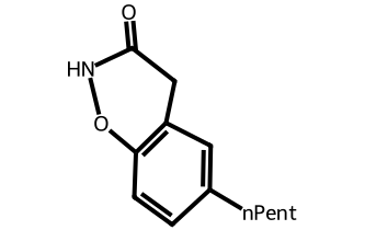 CCCCCc1ccc2c(c1)CC(=O)NO2